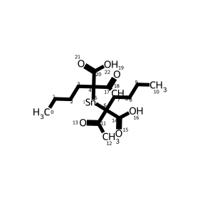 CCCC[C]([Sn][C](CCCC)(C(C)=O)C(=O)O)(C(C)=O)C(=O)O